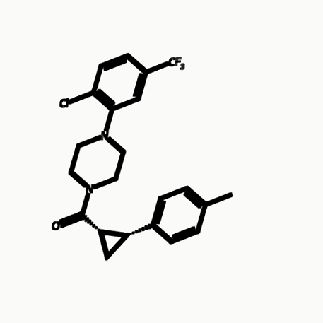 Cc1ccc([C@@H]2C[C@@H]2C(=O)N2CCN(c3cc(C(F)(F)F)ccc3Cl)CC2)cc1